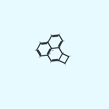 C1=C2CCC2c2cccc3cccc1c23